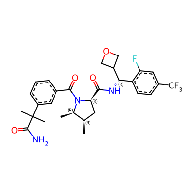 C[C@@H]1C[C@H](C(=O)N[C@@H](c2ccc(C(F)(F)F)cc2F)C2COC2)N(C(=O)c2cccc(C(C)(C)C(N)=O)c2)[C@@H]1C